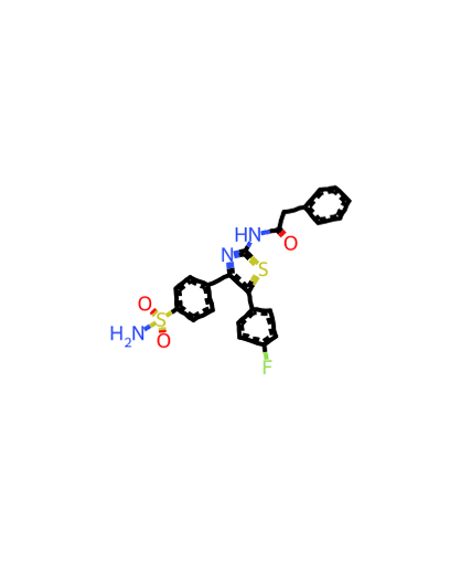 NS(=O)(=O)c1ccc(-c2nc(NC(=O)Cc3ccccc3)sc2-c2ccc(F)cc2)cc1